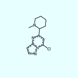 CN1CCCCC1c1cc(Cl)n2nccc2n1